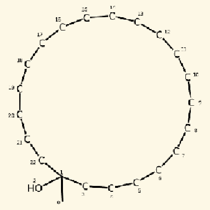 CC1(O)CCCCCCCCCCCCCCCCCCCC1